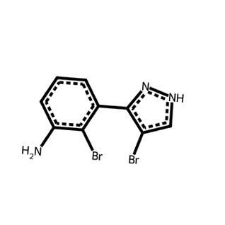 Nc1cccc(-c2n[nH]cc2Br)c1Br